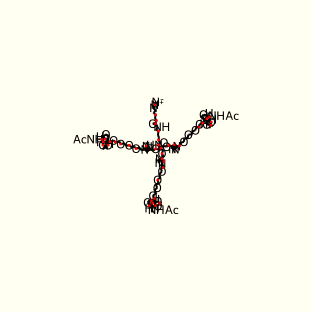 CC(=O)N[C@H]1[C@H]2OC[C@](COCCOCCOCCOCCn3cc(COCC(COCc4cn(CCOCCOCCOCCOC[C@@]56CO[C@@H](O5)[C@H](NC(C)=O)[C@H]5OC(C)(C)O[C@H]56)nn4)(COCc4cn(CCOCCOCCOCCOC[C@@]56CO[C@@H](O5)[C@H](NC(C)=O)[C@H]5OC(C)(C)O[C@H]56)nn4)NC(=O)CCCCCNC(=O)CCCCCN=[N+]=[N-])nn3)(O2)[C@@H]2OC(C)(C)O[C@H]12